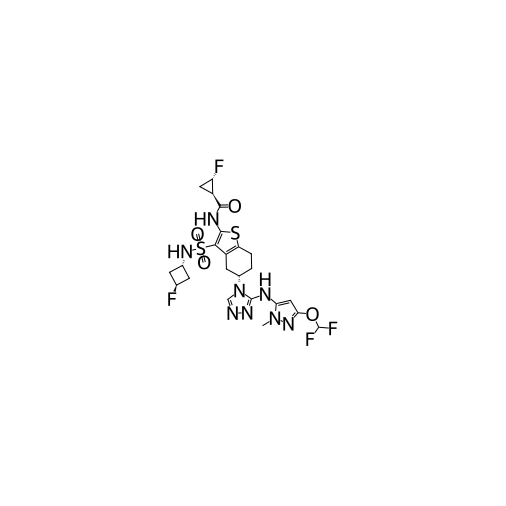 Cn1nc(OC(F)F)cc1Nc1nncn1[C@H]1CCc2sc(NC(=O)[C@H]3C[C@@H]3F)c(S(=O)(=O)N[C@H]3C[C@H](F)C3)c2C1